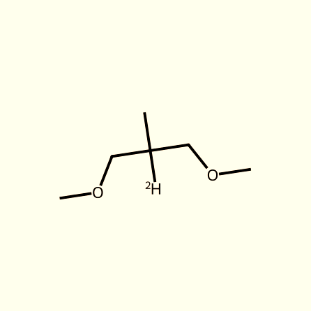 [2H]C(C)(COC)COC